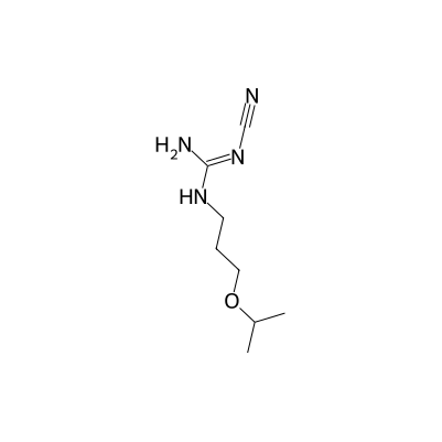 CC(C)OCCCNC(N)=NC#N